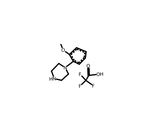 COc1ccccc1N1CCNCC1.O=C(O)C(F)(F)F